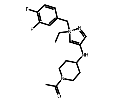 CC[N+]1(Cc2ccc(F)c(F)c2)C=C(NC2CCN(C(C)=O)CC2)C=N1